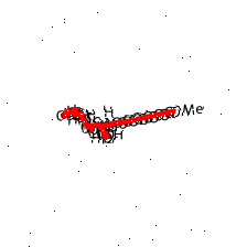 CCC(=O)OC1(C(=O)COCNC(=O)CNC(=O)[C@H](CCC(=O)O)NC(=O)CNC(=O)[C@H](CCCCNC(=O)CCOCCOCCOCCOCCOCCOCCOCCOCCOCCOCCOCCOC)NC(=O)CCN2C(=O)C(Br)=C(I)C2=O)[C@@H](C)C[C@H]2[C@@H]3CCC4=CC(=O)C=C[C@]4(C)[C@@]3(Cl)CC[C@@]21C